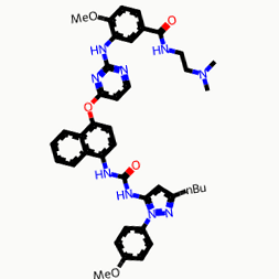 CCCCc1cc(NC(=O)Nc2ccc(Oc3ccnc(Nc4cc(C(=O)NCCN(C)C)ccc4OC)n3)c3ccccc23)n(-c2ccc(OC)cc2)n1